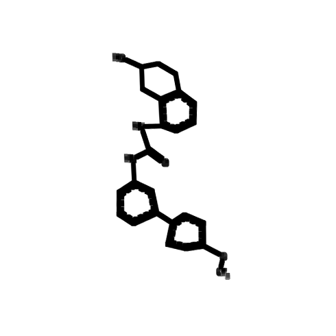 O=C(Nc1cccc(-c2ccc(OC(F)(F)F)cc2)c1)Nc1cccc2c1CC(O)CC2